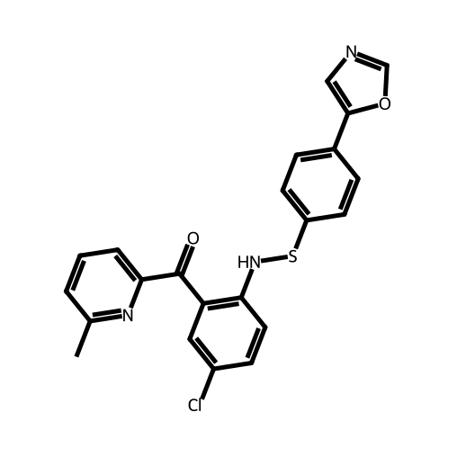 Cc1cccc(C(=O)c2cc(Cl)ccc2NSc2ccc(-c3cnco3)cc2)n1